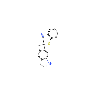 N#CC1(Sc2ccccc2)Cc2cc3c(cc21)NCC3